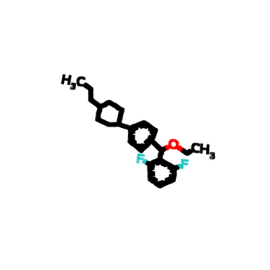 CCCC1CCC(c2ccc(C(OCC)c3c(F)cccc3F)cc2)CC1